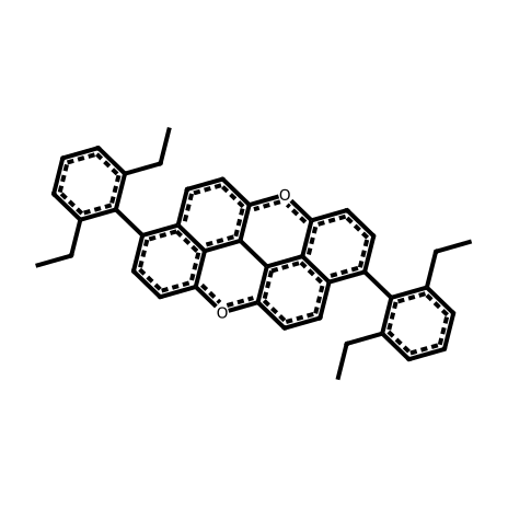 CCc1cccc(CC)c1-c1ccc2oc3ccc4c(-c5c(CC)cccc5CC)ccc5oc6ccc1c2c6-c3c54